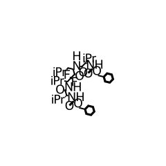 CC(C)CC(NC(=O)[C@@H](NC(=O)OCc1ccccc1)C(C)C)C(=O)C(F)(F)C(NC(=O)[C@@H](NC(=O)OCc1ccccc1)C(C)C)C(C)C